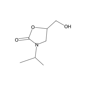 CC(C)N1CC(CO)OC1=O